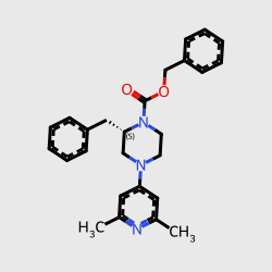 Cc1cc(N2CCN(C(=O)OCc3ccccc3)[C@@H](Cc3ccccc3)C2)cc(C)n1